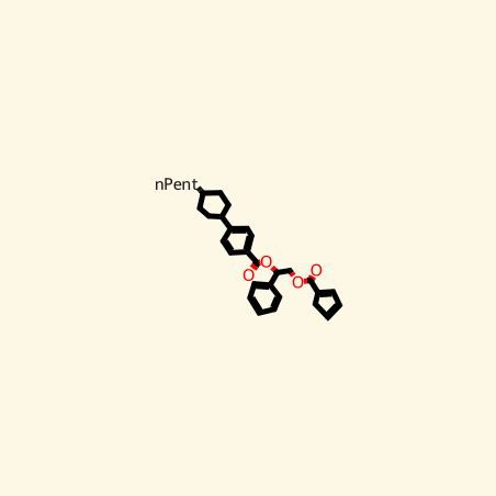 CCCCCC1CCC(c2ccc(C(=O)OC(COC(=O)C3=CC=CC3)c3ccccc3)cc2)CC1